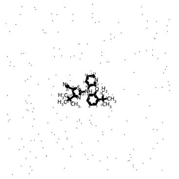 CC(C)(C)c1ccccc1Oc1ncccc1Nc1nc(C(C)(C)C)c(C#N)s1